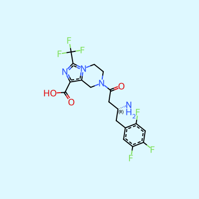 N[C@@H](CC(=O)N1CCn2c(C(F)(F)F)nc(C(=O)O)c2C1)Cc1cc(F)c(F)cc1F